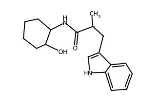 C[C](Cc1c[nH]c2ccccc12)C(=O)NC1CCCCC1O